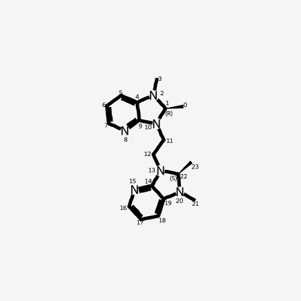 C[C@@H]1N(C)c2cccnc2N1CCN1c2ncccc2N(C)[C@@H]1C